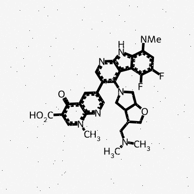 CNc1cc(F)c(F)c2c1[nH]c1ncc(-c3cnc4c(c3)c(=O)c(C(=O)O)cn4C)c(N3CC4OCC(CN(C)C)C4C3)c12